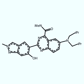 CNC(=O)c1nc(-c2cc3cn(C)nc3cc2O)nc2ccc(N(CC(C)C)CC(C)C)cc12